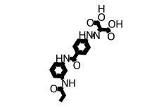 CCC(=O)Nc1cccc(NC(=O)c2ccc(NN=C(C(=O)O)C(=O)O)cc2)c1